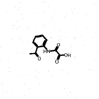 CC(=O)c1ccccc1NC(=O)C(=O)O